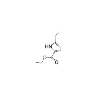 CCOC(=O)c1ccc(CC)[nH]1